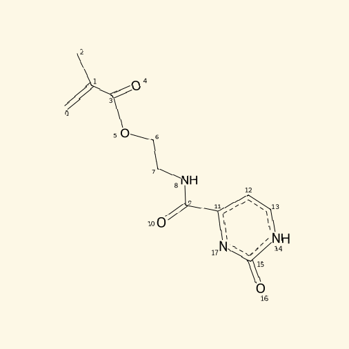 C=C(C)C(=O)OCCNC(=O)c1cc[nH]c(=O)n1